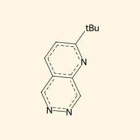 CC(C)(C)c1ccc2cnncc2n1